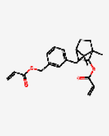 C=CC(=O)OCc1cccc(CC2(C)C3CCC2(C)C(OC(=O)C=C)C3)c1